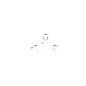 Cn1nnnc1SCc1ccccc1C(=O)OC1=CC(=O)CCC1